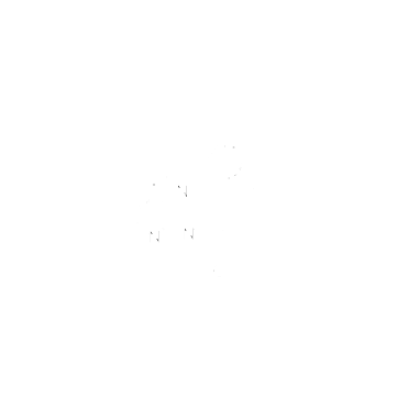 Cc1ccc(Cn2c(C)c(C)c3ccnc(N4CCCC(C5CCCCC5)C4)c32)cc1.Cl